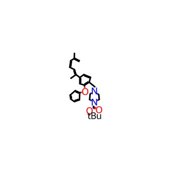 C=C(C)/C=C\C=C(/C)c1ccc(CN2CCN(C(=O)OC(C)(C)C)CC2)c(Oc2ccccc2)c1